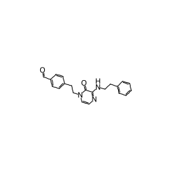 O=Cc1ccc(CCn2ccnc(NCCc3ccccc3)c2=O)cc1